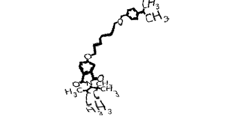 CC(C)c1ccc(COCCCCCCOc2ccc3c(c2)C(=O)N(C(C(C)C)C(C)(C)C)C3=O)cc1